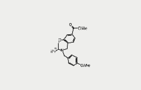 COC(=O)c1ccc2c(c1)OC[C@H](C(C)C)N(Cc1ccc(OC)cc1)C2